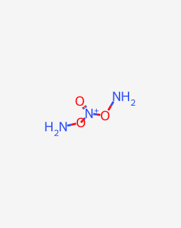 NO[N+](=O)ON